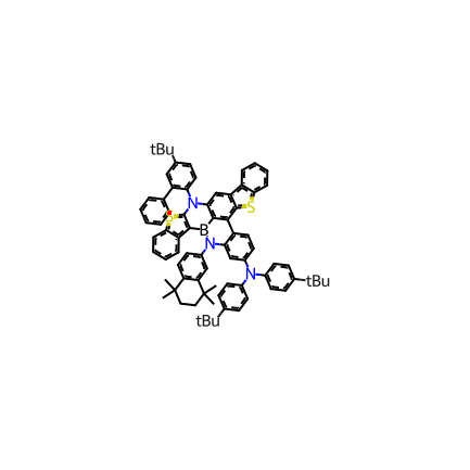 CC(C)(C)c1ccc(N(c2ccc(C(C)(C)C)cc2)c2ccc3c(c2)N(c2ccc4c(c2)C(C)(C)CCC4(C)C)B2c4c(cc5c(sc6ccccc65)c4-3)N(c3ccc(C(C)(C)C)cc3-c3ccccc3)c3sc4ccccc4c32)cc1